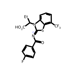 CCC(C(=O)O)n1/c(=N/C(=O)c2ccc(F)cc2)sc2c(C(F)(F)F)cccc21